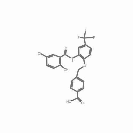 O=C(O)c1ccc(COc2ccc(C(F)(F)F)cc2NC(=O)c2cc(Cl)ccc2O)cc1